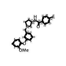 COc1ccccc1Oc1cccc(CN2CC[C@@H](NC(=O)c3ccc(F)cc3)C2)c1